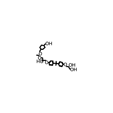 CC(OCC(O)COc1ccc(C(C)(C)c2ccc(OCC(O)CO)cc2)cc1)OCC1CCC(CO)CC1